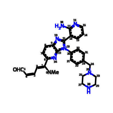 CN/C(=C\C=C/C=O)c1ccc2nc(-c3cccnc3N)n(-c3ccc(CN4CCNCC4)cc3)c2n1